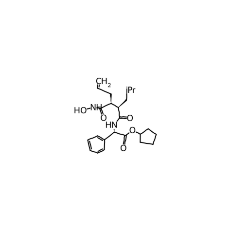 C=CC[C@H](C(=O)NO)[C@@H](CC(C)C)C(=O)N[C@H](C(=O)OC1CCCC1)c1ccccc1